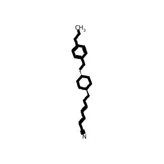 CCCc1ccc(CC[C@H]2CC[C@H](CCC=CC=CC#N)CC2)cc1